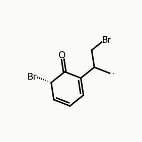 [CH2]C(CBr)C1=CC=C[C@H](Br)C1=O